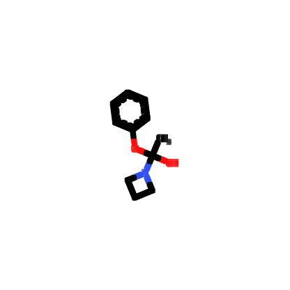 CC(O)(Oc1ccccc1)N1CCC1